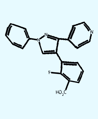 O=C(O)c1cccc(-c2cn(-c3ccccc3)nc2-c2ccncc2)c1F